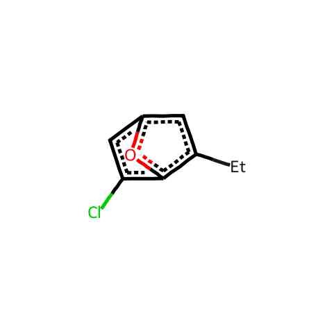 CCc1cc2cc(Cl)c1o2